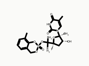 BC(B)(OP1(=O)OCc2cccc(C)c2O1)[C@]1(F)C[C@@H](O)[C@](B)(n2cc(C)c(=O)[nH]c2=O)O1